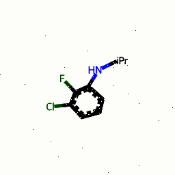 CC(C)Nc1cccc(Cl)c1F